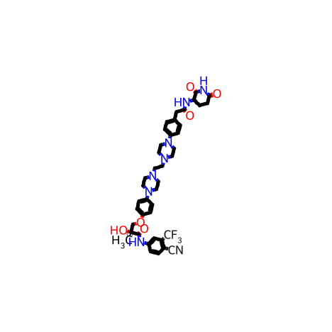 C[C@](O)(COc1ccc(N2CCN(CCN3CCN(c4ccc(CC(=O)NC5CCC(=O)NC5=O)cc4)CC3)CC2)cc1)C(=O)Nc1ccc(C#N)c(C(F)(F)F)c1